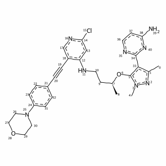 Cc1nn(C)c(O[C@@H](C)CCNc2cc(Cl)ncc2C#Cc2ccc(N3CCOCC3)cc2)c1-c1nccc(N)n1